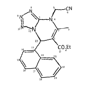 CCOC(=O)C1=C(C)N(CC#N)c2nnnn2C1c1cccc2ccccc12